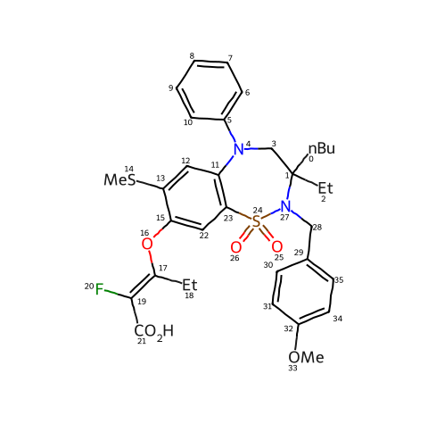 CCCCC1(CC)CN(c2ccccc2)c2cc(SC)c(O/C(CC)=C(\F)C(=O)O)cc2S(=O)(=O)N1Cc1ccc(OC)cc1